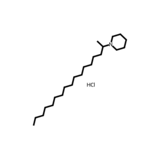 CCCCCCCCCCCCCCCC(C)N1CCCCC1.Cl